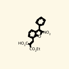 CCOC(=O)C(=Cc1cccc2c(-c3ccccc3)c([N+](=O)[O-])oc12)C(=O)O